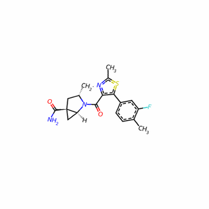 [CH2][C@H]1C[C@@]2(C(N)=O)C[C@@H]2N1C(=O)c1nc(C)sc1-c1ccc(C)c(F)c1